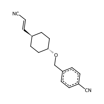 N#CC=C[C@H]1CC[C@H](OCc2ccc(C#N)cc2)CC1